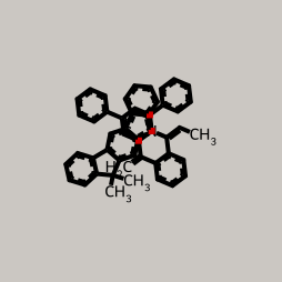 C=C(c1cc(-c2ccccc2)cc(-c2ccccc2)c1)c1ccccc1/C(=C\C)n1c2ccccc2c2cc3c(cc21)C(C)(C)c1ccccc1-3